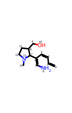 C=C/C=C\C(=C/N)C1C(CO)CCN1C